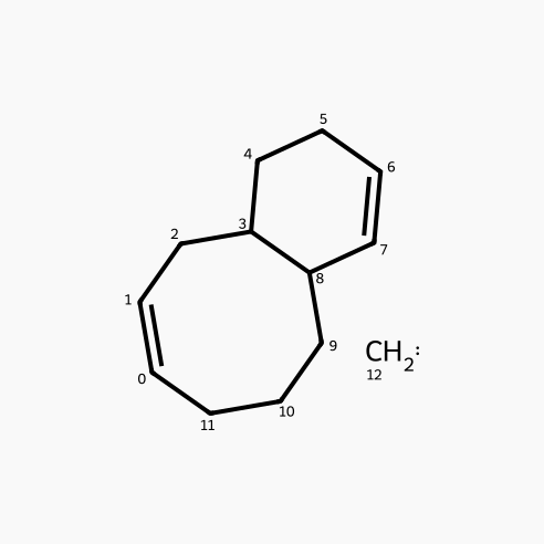 C1=CCC2CCC=CC2CCC1.[CH2]